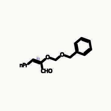 CCC/C=C(\C=O)OCOCc1ccccc1